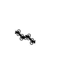 C=C(C)C(=O)OCCOC(=O)C(=C)OC(C)(C)C(=O)OCCOC(=O)C(=C)C